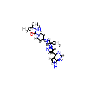 CC(C)NC(=O)N1CCC(N2CC(C)(n3cc(C4N=CN=C5NC=CC54)cn3)C2)CC1